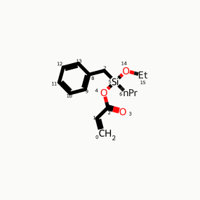 C=CC(=O)O[Si](CCC)(Cc1ccccc1)OCC